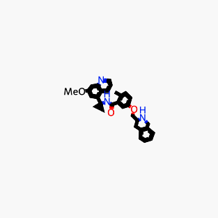 COc1cc(C2(NC(=O)c3cc(OCC4Cc5ccccc5CN4)ccc3C)CC2)c2cccnc2c1